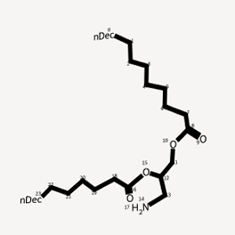 CCCCCCCCCCCCCCCCCC(=O)OCC(CN)OC(=O)CCCCCCCCCCCCCCC